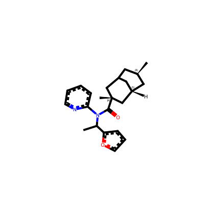 CC(c1ccco1)N(C(=O)[C@]1(C)CC2C[C@@H](C)C[C@@H](C2)C1)c1ccccn1